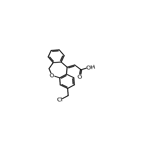 O=C(O)C=C1c2ccccc2COc2cc(CCl)ccc21